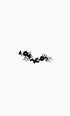 CN(C)C(=O)c1ccc(N2CCC3(CC2)CC3CCN(C)C(=O)C(O)(c2cccc(OC3CC3)c2)C(F)(F)F)cc1Cl